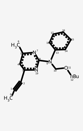 CC#Cc1cc(C)nc(N(COCCCC)c2ccccc2)n1